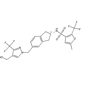 Cc1cc(S(=O)(=O)N[C@H]2Cc3ccc(Cn4cc(CO)c(C(F)(F)F)n4)cc3C2)c(C(F)(F)F)o1